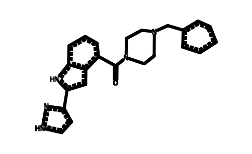 O=C(c1cccc2[nH]c(-c3cc[nH]n3)cc12)N1CCN(Cc2ccccc2)CC1